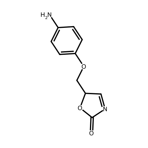 Nc1ccc(OCC2C=NC(=O)O2)cc1